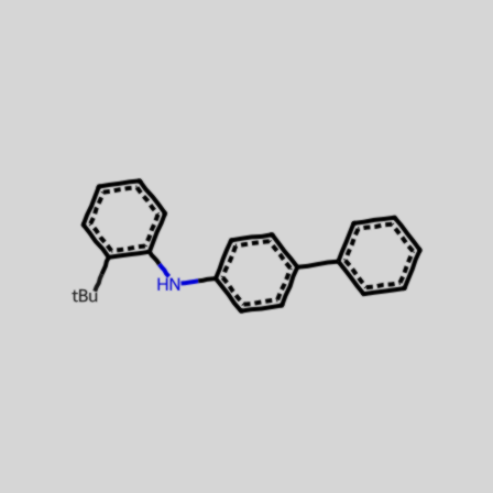 CC(C)(C)c1ccccc1Nc1ccc(-c2ccccc2)cc1